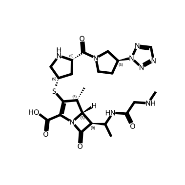 CNCC(=O)NC(C)[C@H]1C(=O)N2C(C(=O)O)=C(S[C@@H]3CN[C@H](C(=O)N4CC[C@H](n5ncnn5)C4)C3)[C@H](C)[C@H]12